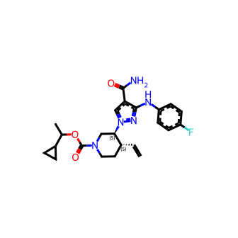 C=C[C@@H]1CCN(C(=O)OC(C)C2CC2)C[C@H]1n1cc(C(N)=O)c(Nc2ccc(F)cc2)n1